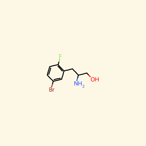 NC(CO)Cc1cc(Br)ccc1F